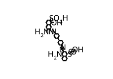 Nc1cc2ccc(S(=O)(=O)O)c(O)c2cc1N=Nc1ccc(-c2ccc(N=Nc3cc(SOOO)c4ccccc4c3N)cc2)cc1